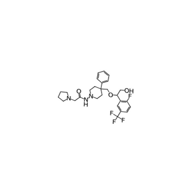 O=C(CN1CCCC1)NN1CCC(COC(CO)c2cc(C(F)(F)F)ccc2F)(c2ccccc2)CC1